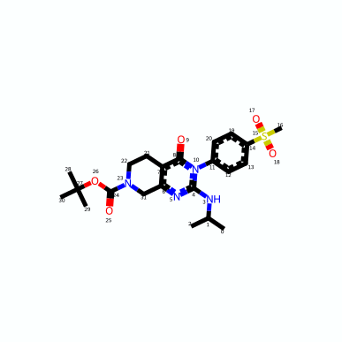 CC(C)Nc1nc2c(c(=O)n1-c1ccc(S(C)(=O)=O)cc1)CCN(C(=O)OC(C)(C)C)C2